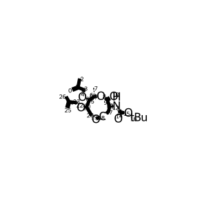 C=C(C)CO[C@H]1[C@H](C)OC(=O)[C@@H](NC(=O)OC(C)(C)C)CCOC[C@@H]1OCC(=C)C